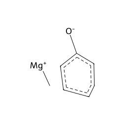 [CH3][Mg+].[O-]c1ccccc1